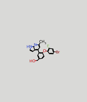 Cc1cc(-c2cc(CO)ccc2Oc2ccc(Br)cc2F)c2cc[nH]c2n1